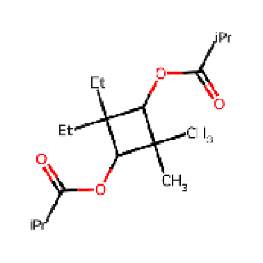 CCC1(CC)C(OC(=O)C(C)C)C(C)(C)C1OC(=O)C(C)C